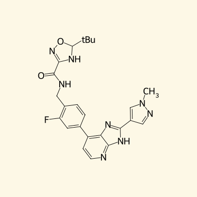 Cn1cc(-c2nc3c(-c4ccc(CNC(=O)C5=NOC(C(C)(C)C)N5)c(F)c4)ccnc3[nH]2)cn1